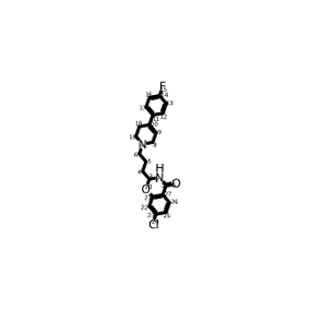 O=C1NC(CCCN2CC=C(c3ccc(F)cc3)CC2)Oc2cc(Cl)ccc21